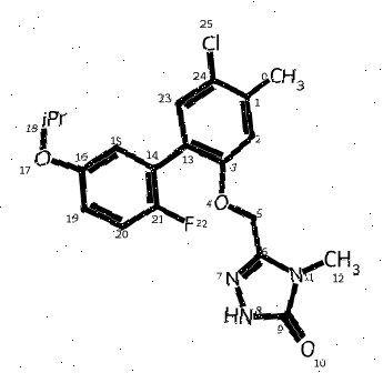 Cc1cc(OCc2n[nH]c(=O)n2C)c(-c2cc(OC(C)C)ccc2F)cc1Cl